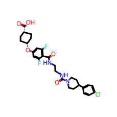 O=C(NCCNC(=O)N1CCC(c2ccc(Cl)cc2)CC1)c1c(F)cc(O[C@H]2CC[C@@H](C(=O)O)CC2)cc1F